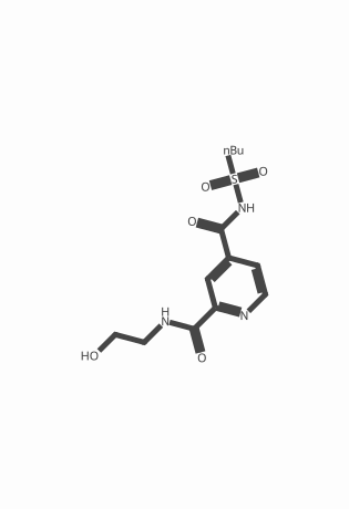 CCCCS(=O)(=O)NC(=O)c1ccnc(C(=O)NCCO)c1